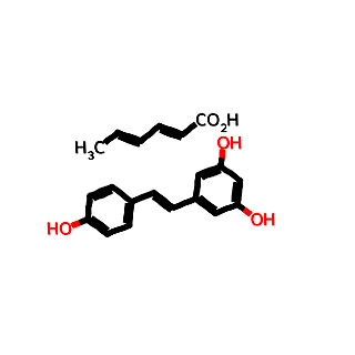 C/C=C/C=C/C(=O)O.Oc1ccc(C=Cc2cc(O)cc(O)c2)cc1